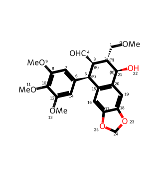 COC[C@H]1[C@H](C=O)[C@H](c2cc(OC)c(OC)c(OC)c2)c2cc3c(cc2[C@@H]1O)OCO3